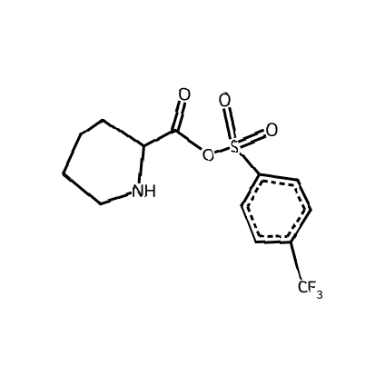 O=C(OS(=O)(=O)c1ccc(C(F)(F)F)cc1)C1CCCCN1